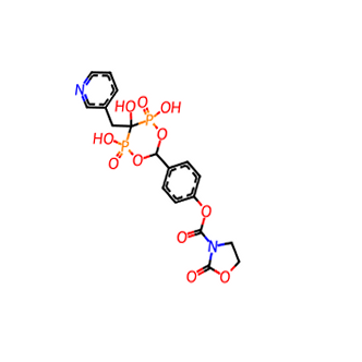 O=C1OCCN1C(=O)Oc1ccc(C2OP(=O)(O)C(O)(Cc3cccnc3)P(=O)(O)O2)cc1